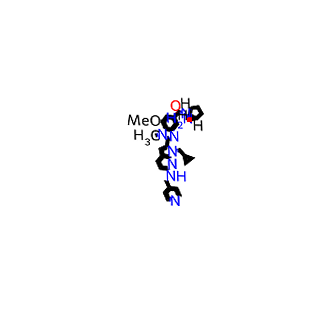 COc1cc(C(=O)N2C[C@H]3CC[C@@H]2[C@@H]3N)cc2nc(-c3cc4ccc(NCc5ccncc5)nc4n3CC3CC3)n(C)c12